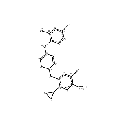 O=C(O)c1cc(C2CC2)c(CN2C=CC(Oc3ccc(F)cc3Cl)=CC2)cc1F